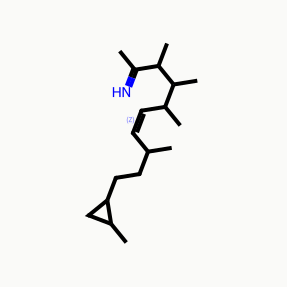 CC(=N)C(C)C(C)C(C)/C=C\C(C)CCC1CC1C